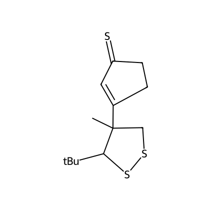 CC(C)(C)C1SSCC1(C)C1=CC(=S)CC1